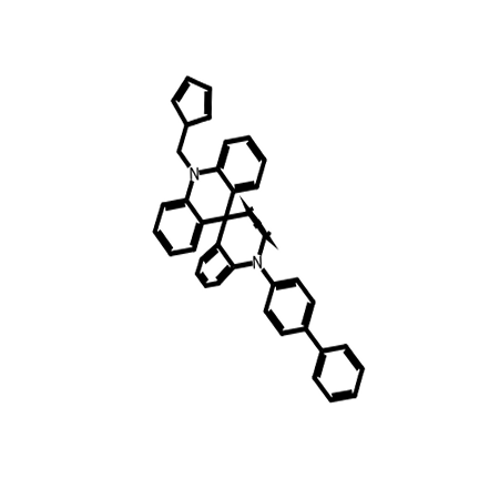 C1=CC(CN2c3ccccc3C3(c4ccccc42)c2ccccc2N(c2ccc(-c4ccccc4)cc2)c2ccccc23)C=C1